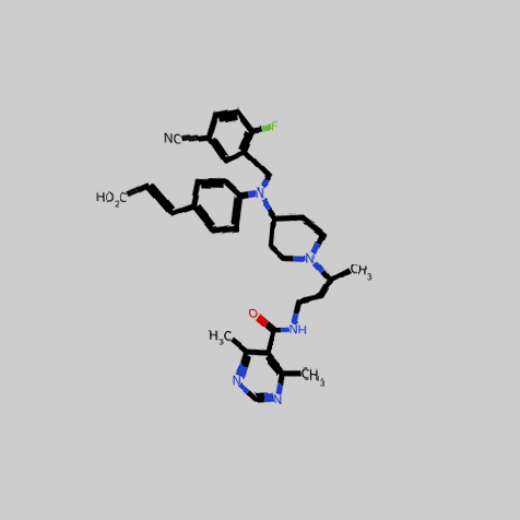 Cc1ncnc(C)c1C(=O)NCCC(C)N1CCC(N(Cc2cc(C#N)ccc2F)c2ccc(C=CC(=O)O)cc2)CC1